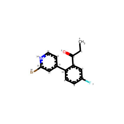 CCC(=O)c1cc(F)ccc1-c1ccnc(Br)c1